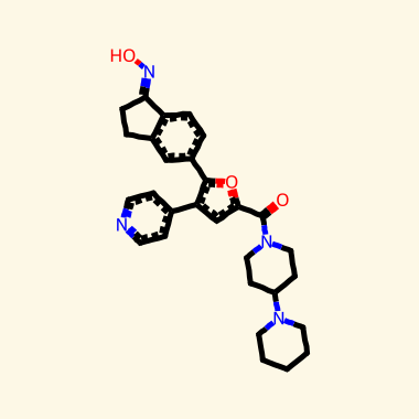 O=C(c1cc(-c2ccncc2)c(-c2ccc3c(c2)CCC3=NO)o1)N1CCC(N2CCCCC2)CC1